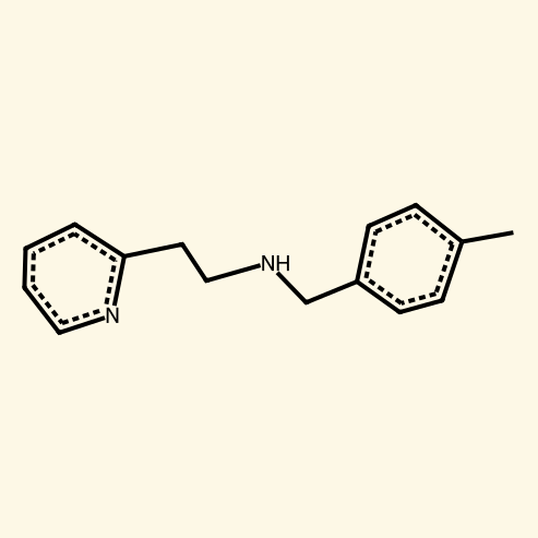 Cc1ccc(CNCCc2ccccn2)cc1